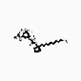 CCCCCCCCCCc1ccccc1OC(=O)NCC1(C)CC(NC(=O)O)CC(C)(C)C1